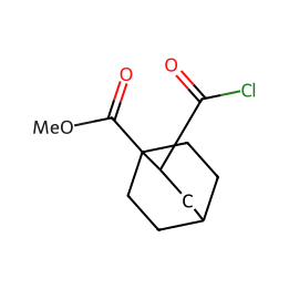 COC(=O)C12CCC(CC1)CC2C(=O)Cl